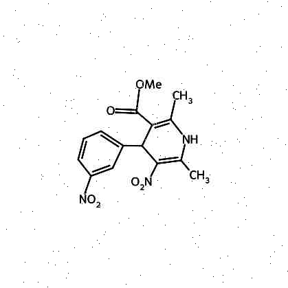 COC(=O)C1=C(C)NC(C)=C([N+](=O)[O-])C1c1cccc([N+](=O)[O-])c1